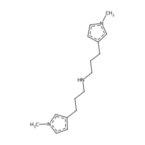 Cn1ccc(CCCNCCCc2ccn(C)c2)c1